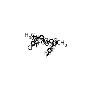 CC(=O)CN(COc1ccc(C(F)(F)F)cc1F)c1cccc(C(=O)OC(=O)c2cccc(N(COc3ccc(Cl)cc3C(F)(F)F)CC(C)=O)c2)c1